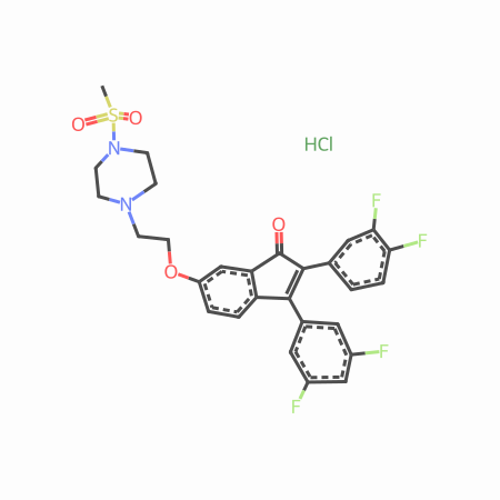 CS(=O)(=O)N1CCN(CCOc2ccc3c(c2)C(=O)C(c2ccc(F)c(F)c2)=C3c2cc(F)cc(F)c2)CC1.Cl